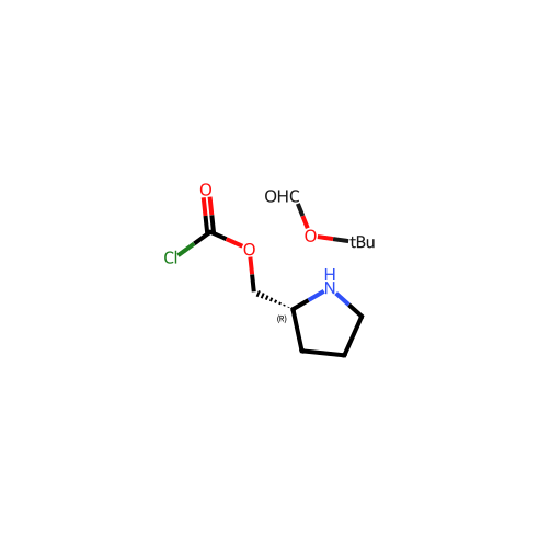 CC(C)(C)OC=O.O=C(Cl)OC[C@H]1CCCN1